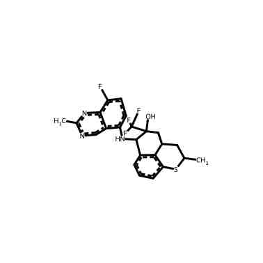 Cc1ncc2c(NC3c4cccc5c4C(CC(C)S5)CC3(O)C(F)(F)F)ccc(F)c2n1